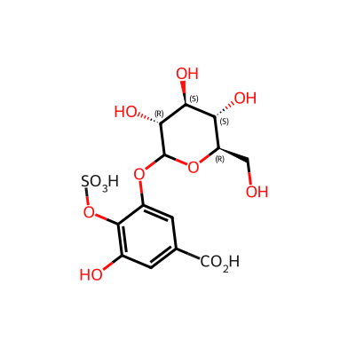 O=C(O)c1cc(O)c(OS(=O)(=O)O)c(OC2O[C@H](CO)[C@@H](O)[C@H](O)[C@H]2O)c1